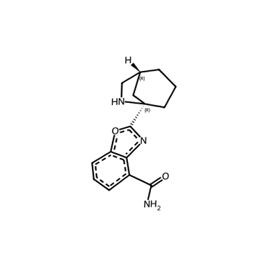 NC(=O)c1cccc2oc([C@]34CCC[C@@H](CN3)C4)nc12